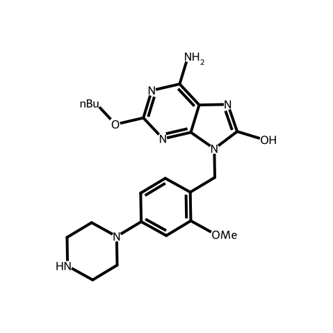 CCCCOc1nc(N)c2nc(O)n(Cc3ccc(N4CCNCC4)cc3OC)c2n1